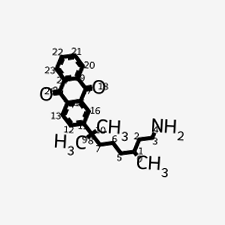 CC(CCN)CCCC(C)(C)c1ccc2c(c1)C(=O)c1ccccc1C2=O